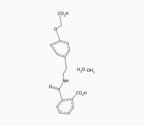 O.O.O=C(O)COc1ccc(CCNC(=O)c2ccccc2C(=O)O)cc1